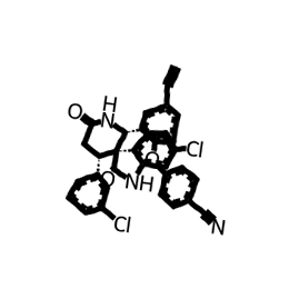 C#Cc1ccc(Oc2ccc(C#N)cc2)c([C@H]2NC(=O)C[C@@H](c3cccc(Cl)c3)[C@]23C(=O)Nc2cc(Cl)ccc23)c1